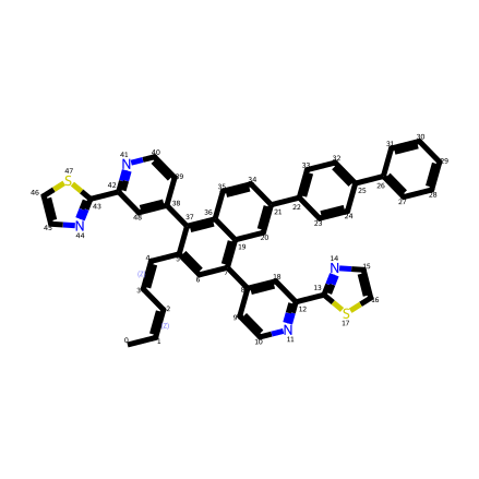 C/C=C\C=C/c1cc(-c2ccnc(-c3nccs3)c2)c2cc(-c3ccc(-c4ccccc4)cc3)ccc2c1-c1ccnc(-c2nccs2)c1